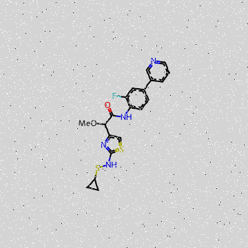 COC(C(=O)Nc1ccc(-c2cccnc2)cc1F)c1csc(NSC2CC2)n1